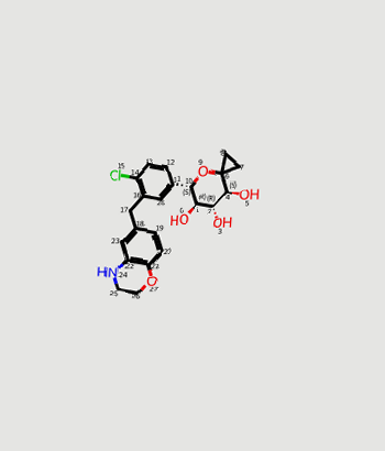 O[C@@H]1[C@@H](O)[C@H](O)C2(CC2)O[C@H]1c1ccc(Cl)c(Cc2ccc3c(c2)NCCO3)c1